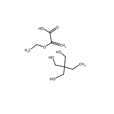 C=C(OCC)C(=O)O.CCC(CO)(CO)CO